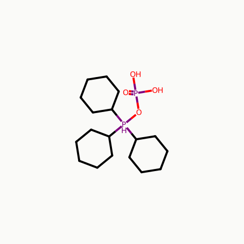 O=P(O)(O)O[PH](C1CCCCC1)(C1CCCCC1)C1CCCCC1